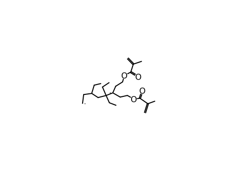 [CH2]CC(CC)CC(CC)(CC)[C](CCOC(=O)C(=C)C)CCOC(=O)C(=C)C